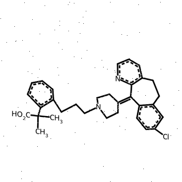 CC(C)(C(=O)O)c1ccccc1CCCN1CCC(=C2c3ccc(Cl)cc3CCc3cccnc32)CC1